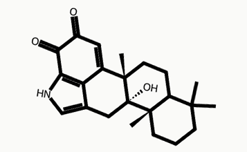 CC1(C)CCC[C@@]2(C)C1CC[C@@]1(C)C3=CC(=O)C(=O)c4[nH]cc(c43)C[C@@]12O